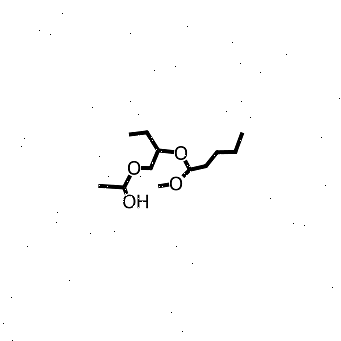 CCCCC(OC)OC(CC)COC(C)O